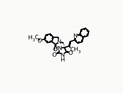 COc1ccc2c(c1)C(=O)N(C[C@@]1(/C(C)=C/c3ccc4ccccc4n3)NC(=O)NC1=O)C2